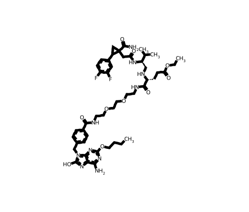 CCCCOc1nc(N)c2nc(O)n(Cc3ccc(C(=O)NCCOCCOCCNC(=O)[C@@H](CCC(=O)OCC)NC[C@@H](NC(=O)CC4(C(N)=O)CC4c4ccc(F)c(F)c4)C(C)C)cc3)c2n1